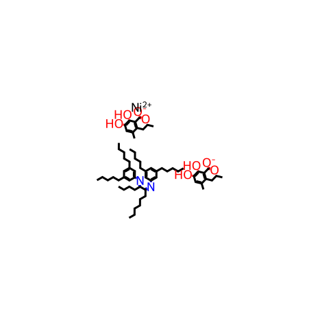 CCCCCCC(=Nc1cc(CCCCC)cc(CCCCC)c1)C(CCCC)=Nc1cc(CCCCC)cc(CCCCC)c1.CCCc1c(C)cc(O)c(O)c1C(=O)[O-].CCCc1c(C)cc(O)c(O)c1C(=O)[O-].[Ni+2]